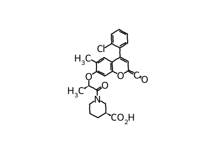 Cc1cc2c(cc1O[C@H](C)C(=O)N1CCC[C@H](C(=O)O)C1)OC(=C=O)C=C2c1ccccc1Cl